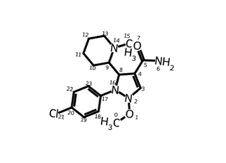 CON1C=C(C(N)=O)C(C2CCCCN2C)N1c1ccc(Cl)cc1